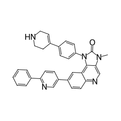 Cn1c(=O)n(-c2ccc(C3=CCNCC3)cc2)c2c3cc(-c4ccc(-c5ccccc5)nc4)ccc3ncc21